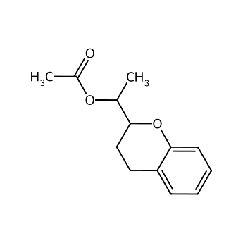 CC(=O)OC(C)C1CCc2ccccc2O1